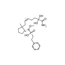 CON([C@@H]1CCCC1(C)C/C=C\CCC(O)(O)C(N)=O)P(=O)(O)CCc1ccccc1